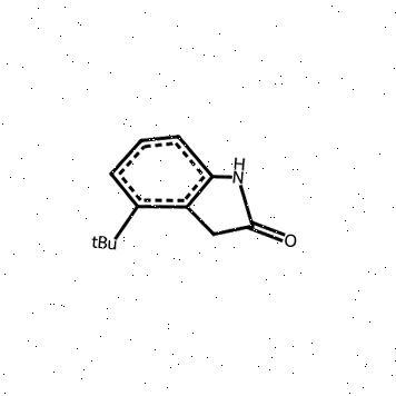 CC(C)(C)c1cccc2c1CC(=O)N2